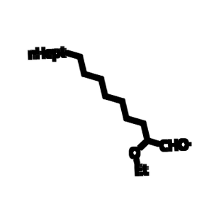 CCCCCCCCCCCCCCC([C]=O)OCC